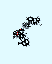 CC(C)[Si](C#Cc1c(F)ccc2cccc(-c3ncc4c(N5CC6CCC(C5)N6C(=O)OC(C)(C)C)nc(OC[C@]56CCCN5[C@H](CO[Si](c5ccccc5)(c5ccccc5)C(C)(C)C)CC6)nc4c3F)c12)(C(C)C)C(C)C